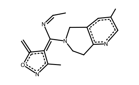 C=c1onc(C)/c1=C(/N=C\C)N1CCc2ncc(C)cc2C1